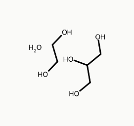 O.OCC(O)CO.OCCO